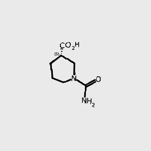 NC(=O)N1CCC[C@H](C(=O)O)C1